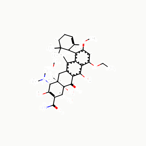 CCOc1cc(OC)c2c3c(c4c(c(O)c13)C(=O)[C@@]1(O)[C@@H]([C@@H]4OC)[C@H](N(C)C)C(O)=C(C(N)=O)[C@H]1O)C[C@]21C(C)=CCCC1(C)C